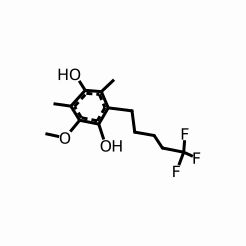 COc1c(C)c(O)c(C)c(CCCCC(F)(F)F)c1O